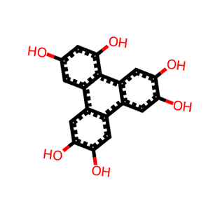 Oc1cc(O)c2c(c1)c1cc(O)c(O)cc1c1cc(O)c(O)cc12